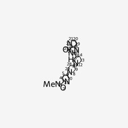 CNC(=O)c1ccc(N2CCC(N3CCCC(c4nc5cccnc5c(=O)[nH]4)C3)CC2)cn1